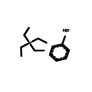 CC[N+](CC)(CC)CC.Cc1ccccc1.[OH-]